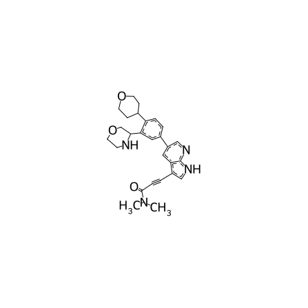 CN(C)C(=O)C#Cc1c[nH]c2ncc(-c3ccc(C4CCOCC4)c(C4COCCN4)c3)cc12